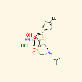 CCc1ccc(-c2ccc([C@@]3(CC(=O)NO)CCN(CC=C(C)C)CCS3(=O)=O)s2)cc1.Cl